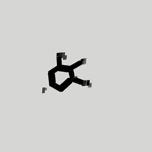 C[n+]1cccc(N)c1Cl.[I-]